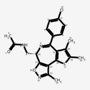 CC(=O)NC[C@@H]1N=C(c2ccc(Cl)cc2)c2c(sc(C)c2C)-c2c(C)noc21